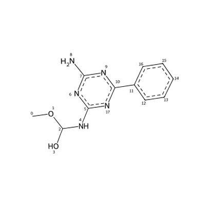 COC(O)Nc1nc(N)nc(-c2ccccc2)n1